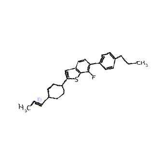 C/C=C/C1CCC(c2cc3ccc(-c4ccc(CCC)cc4)c(F)c3s2)CC1